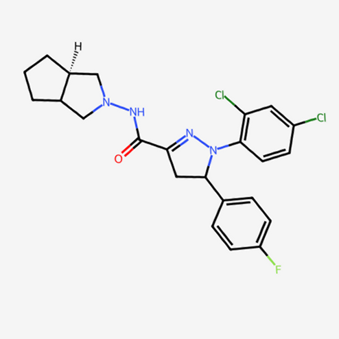 O=C(NN1CC2CCC[C@H]2C1)C1=NN(c2ccc(Cl)cc2Cl)C(c2ccc(F)cc2)C1